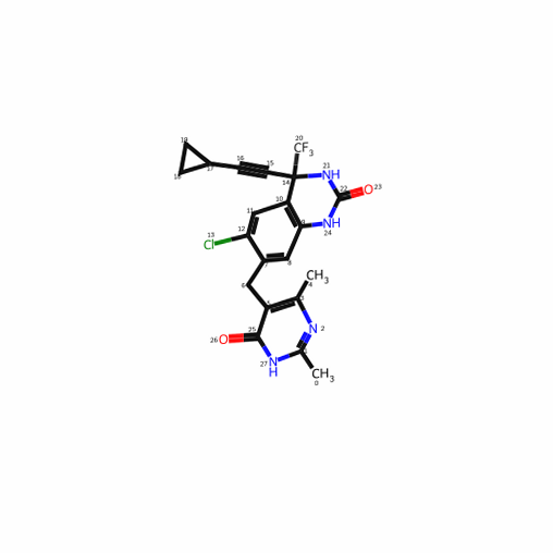 Cc1nc(C)c(Cc2cc3c(cc2Cl)C(C#CC2CC2)(C(F)(F)F)NC(=O)N3)c(=O)[nH]1